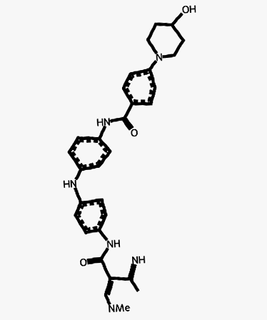 CN/C=C(\C(C)=N)C(=O)Nc1ccc(Nc2ccc(NC(=O)c3ccc(N4CCC(O)CC4)cc3)cc2)cc1